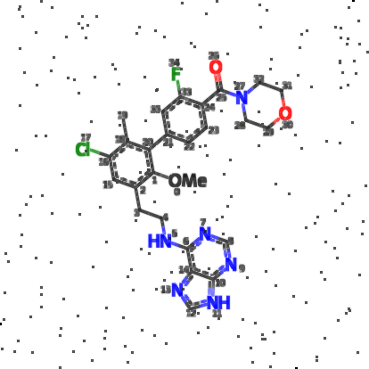 COc1c(CCNc2ncnc3[nH]cnc23)cc(Cl)c(C)c1-c1ccc(C(=O)N2CCOCC2)c(F)c1